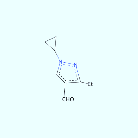 CCc1nn(C2CC2)cc1C=O